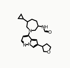 O=CNC1CCC(C2CC2)CN(c2ccnn3cc(C4CCOC4)cc23)C1